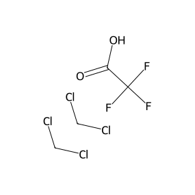 ClCCl.ClCCl.O=C(O)C(F)(F)F